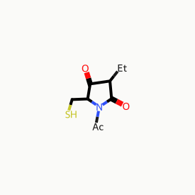 CCC1C(=O)C(CS)N(C(C)=O)C1=O